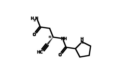 C#C[C@H](CC(N)=O)NC(=O)C1CCCN1